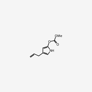 C=CCc1c[nH]c(OC(=O)OC)c1